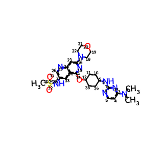 CN(C)c1ccnc(NC2CCC(Oc3nc(N4CCOCC4)cc4ncc(NS(C)(=O)=O)cc34)CC2)n1